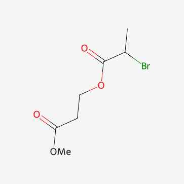 COC(=O)CCOC(=O)C(C)Br